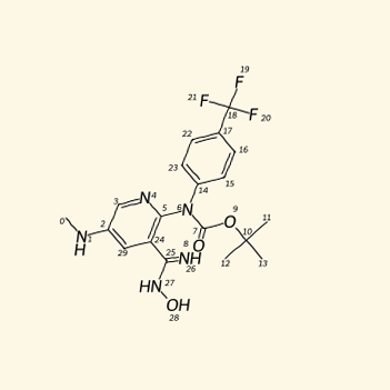 CNc1cnc(N(C(=O)OC(C)(C)C)c2ccc(C(F)(F)F)cc2)c(C(=N)NO)c1